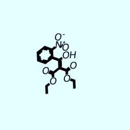 CCOC(=O)C(C(=O)OCC)=C(O)c1ccccc1[N+](=O)[O-]